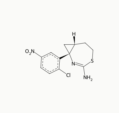 NC1=N[C@]2(c3cc([N+](=O)[O-])ccc3Cl)C[C@@H]2CCS1